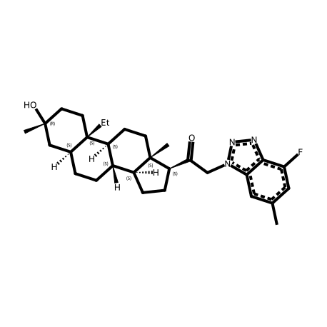 CC[C@]12CC[C@@](C)(O)C[C@@H]1CC[C@H]1[C@@H]3CC[C@H](C(=O)Cn4nnc5c(F)cc(C)cc54)[C@@]3(C)CC[C@@H]12